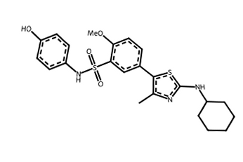 COc1ccc(-c2sc(NC3CCCCC3)nc2C)cc1S(=O)(=O)Nc1ccc(O)cc1